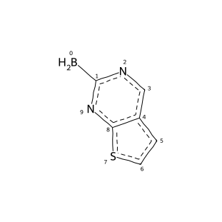 Bc1ncc2ccsc2n1